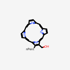 CCCCCC1=C(CO)C2=CC3=NC(=CC4=NC(=CC5=NC(=CC1=N2)C=C5)C=C4)C=C3